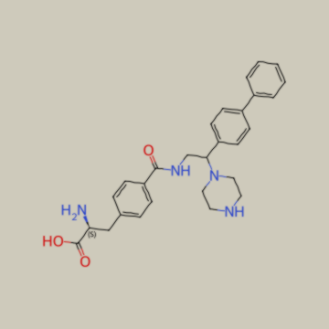 N[C@@H](Cc1ccc(C(=O)NCC(c2ccc(-c3ccccc3)cc2)N2CCNCC2)cc1)C(=O)O